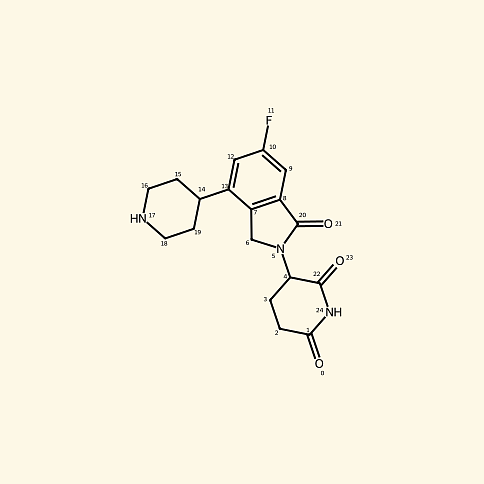 O=C1CCC(N2Cc3c(cc(F)cc3C3CCNCC3)C2=O)C(=O)N1